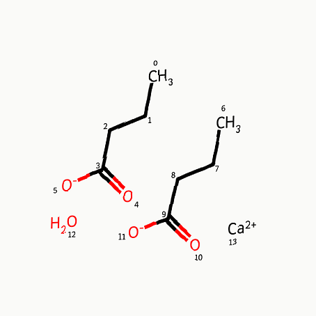 CCCC(=O)[O-].CCCC(=O)[O-].O.[Ca+2]